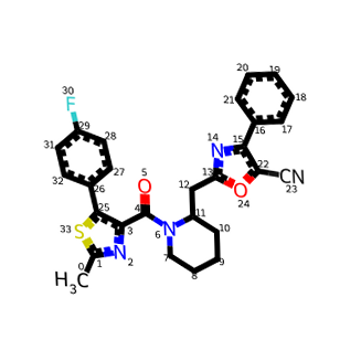 Cc1nc(C(=O)N2CCCCC2Cc2nc(-c3ccccc3)c(C#N)o2)c(-c2ccc(F)cc2)s1